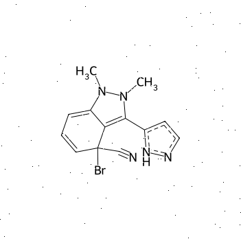 CN1C2=CC=CC(Br)(C#N)C2=C(c2ccn[nH]2)N1C